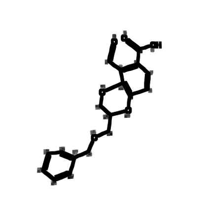 O=Cc1c(C(=O)O)ccc2c1OCC(COCc1ccccc1)O2